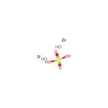 Cl.Cl.O=S(=O)(O)O.[Zn].[Zr]